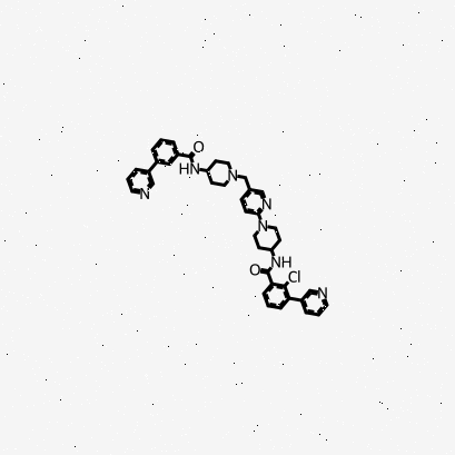 O=C(NC1CCN(Cc2ccc(N3CCC(NC(=O)c4cccc(-c5cccnc5)c4Cl)CC3)nc2)CC1)c1cccc(-c2cccnc2)c1